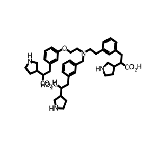 O=C(O)C(Cc1cccc(CCN(CCOc2cccc(CC(C(=O)O)C3CCNC3)c2)Cc2cccc(CC(C(=O)O)C3CCNC3)c2)c1)C1CCNC1